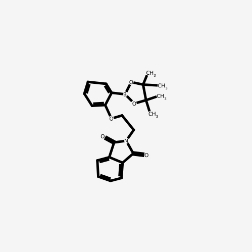 CC1(C)OB(c2ccccc2OCCN2C(=O)c3ccccc3C2=O)OC1(C)C